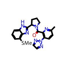 CSc1cccc2[nH]c(C3CCCN3C(=O)c3nc(C)ccc3-n3nccn3)nc12